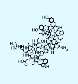 CC[C@H](C)[C@H](NC(=O)[C@H](Cc1ccc(O)cc1)NC(=O)[C@H](Cc1ccc(O)cc1)NC(=O)[C@@H]1CCCN1C(=O)[C@@H](NC(=O)[C@H](CCCCN)NC(=O)[C@H](CC(N)=O)NC(=O)[C@@H]1CCCN1C(=O)[C@H](CO)NC(=O)[C@@H](NC(=O)[C@H](C)NC(=O)[C@H](CCCNC(=N)N)NC(=O)[C@H](CCC(=O)O)NC(=O)[C@H](Cc1c[nH]c2ccccc12)NC(=O)[C@@H]1CCCN1)[C@@H](C)CC)C(C)C)C(=O)O